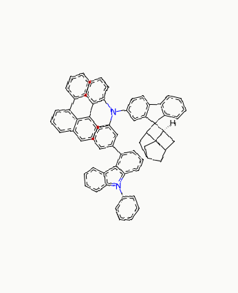 c1ccc(-c2cccc3cccc(-c4ccccc4N(c4cccc(-c5cccc6c5c5ccccc5n6-c5ccccc5)c4)c4ccc5c(c4)C4(c6ccccc6-5)C5CC6CC7C[C@H]4C75C6)c23)cc1